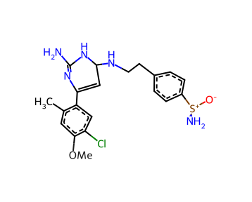 COc1cc(C)c(C2=CC(NCCc3ccc([S@+](N)[O-])cc3)NC(N)=N2)cc1Cl